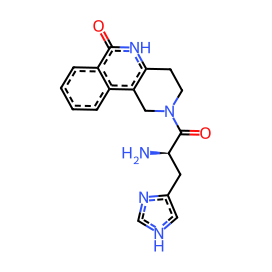 N[C@H](Cc1c[nH]cn1)C(=O)N1CCc2[nH]c(=O)c3ccccc3c2C1